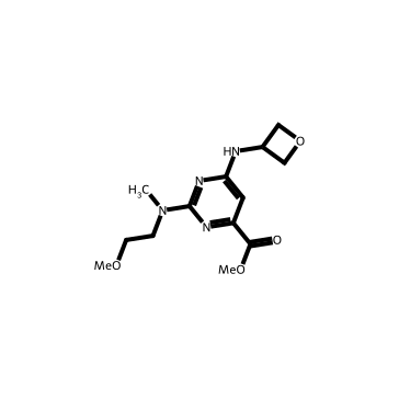 COCCN(C)c1nc(NC2COC2)cc(C(=O)OC)n1